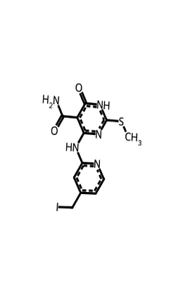 CSc1nc(Nc2cc(CI)ccn2)c(C(N)=O)c(=O)[nH]1